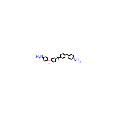 CC(C)(c1ccc(Cc2ccc(N)cc2)cc1)c1ccc(Oc2ccc(N)cc2)cc1